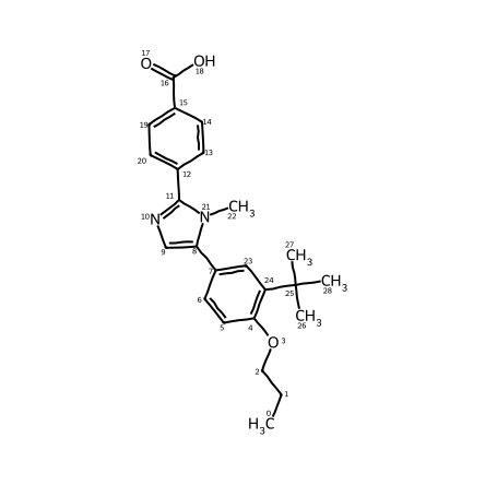 CCCOc1ccc(-c2cnc(-c3ccc(C(=O)O)cc3)n2C)cc1C(C)(C)C